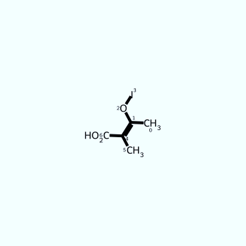 CC(OI)=C(C)C(=O)O